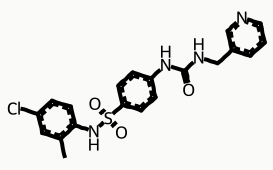 Cc1cc(Cl)ccc1NS(=O)(=O)c1ccc(NC(=O)NCc2cccnc2)cc1